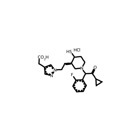 Cl.O=C(O)Cc1cnn(C/C=C2\CN(C(C(=O)C3CC3)c3ccccc3F)CCC2S)c1